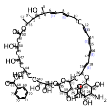 C[C@@H]1[C@H](O)[C@@H](C)/C=C/C=C/CC/C=C/C=C/C=C/C=C/[C@H](O[C@@H]2O[C@H](C)[C@@H](O)[C@H](N)[C@@H]2O)C[C@@H]2O[C@](O)(C[C@@H](O)[C@H](O)CC[C@@H](O)C[C@@H](O)C[C@@H](O)CC(=O)O[C@H]1C)C[C@H](O)[C@H]2C(=O)O.O=C(O)c1ccccc1